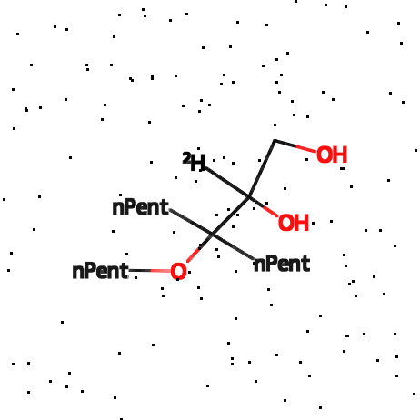 [2H]C(O)(CO)C(CCCCC)(CCCCC)OCCCCC